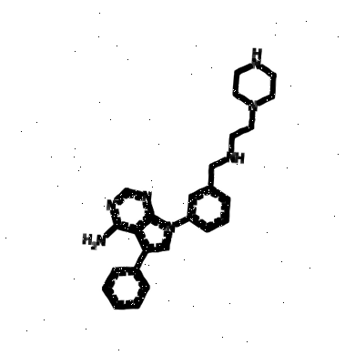 Nc1ncnc2c1c(-c1ccccc1)cn2-c1cccc(CNCCN2CCNCC2)c1